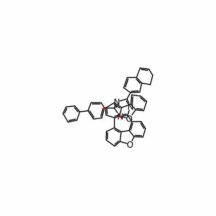 C1=Cc2ccc(-c3nc(-c4ccc(-c5ccccc5)cc4)nc(-c4cccc5oc6cccc(-c7cccc8c7oc7ccccc78)c6c45)n3)cc2CC1